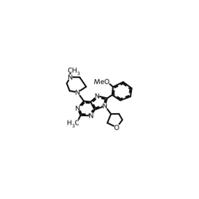 COc1ccccc1-c1nc2c(N3CCN(C)CC3)nc(C)nc2n1C1CCOC1